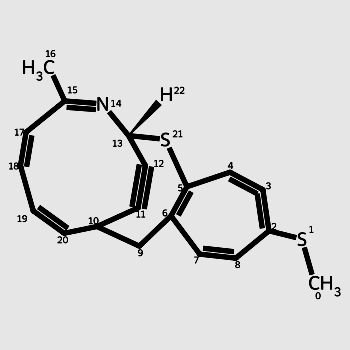 CSC1=C=CC2=C(C=C1)CC1C#C[C@H](/N=C(/C)C=C/C=C\1)S2